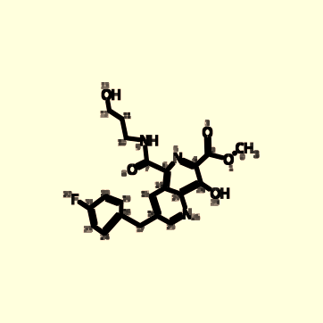 COC(=O)c1nc(C(=O)NCCCO)c2cc(Cc3ccc(F)cc3)cnc2c1O